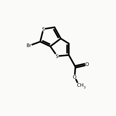 COC(=O)c1cc2csc(Br)c2s1